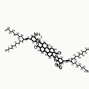 CCCCCCCCCCC(C#Cc1cc(N)c2nc3c4ccc5c6ccc7c(=O)n8c9cc(C#CC(CCCCCCCC)CCCCCCCCCC)cc([N+](=O)[O-])c9nc8c8ccc(c9ccc(c(=O)n3c2c1)c4c59)c6c78)CCCCCCCC